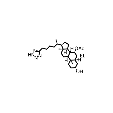 CC[C@H]1[C@@H](OC(C)=O)[C@@H]2[C@H](CC[C@]3(C)[C@@H]([C@H](C)CCCCc4nn[nH]n4)CC[C@@H]23)[C@@]2(C)CC[C@@H](O)C[C@@H]12